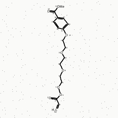 C=CC(=O)OOCCOCCOCCOc1ccc(C(=O)OC)cc1